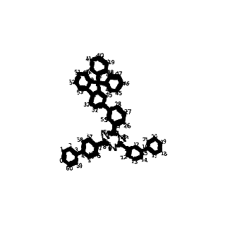 c1ccc(-c2ccc(-c3nc(-c4cccc(-c5ccccc5)c4)nc(-c4cccc(-c5ccc6c(c5)C(c5ccccc5)(c5ccccc5)c5ccccc5-6)c4)n3)cc2)cc1